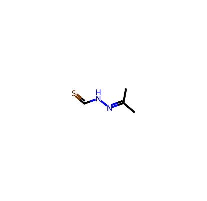 CC(C)=NNC=S